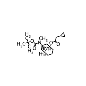 CN(C(=O)OC(C)(C)C)[C@H]1C[C@@H]2CCC[C@](OC(=O)CC3CC3)(C1)N2